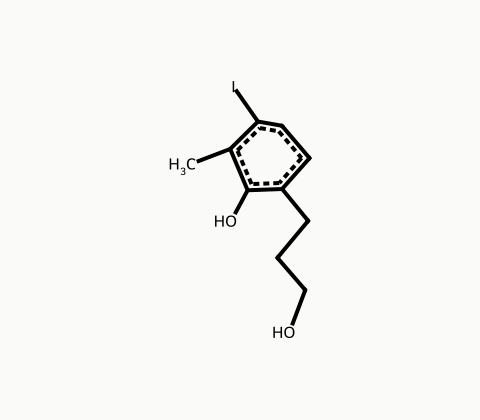 Cc1c(I)ccc(CCCO)c1O